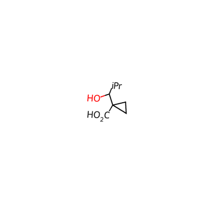 CC(C)C(O)C1(C(=O)O)CC1